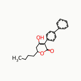 CCCCC1CC(O)=C(c2ccc(-c3ccccc3)cc2)C(=O)O1